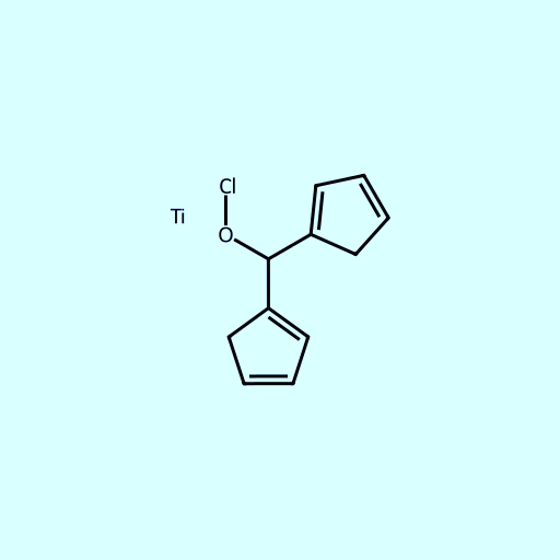 ClOC(C1=CC=CC1)C1=CC=CC1.[Ti]